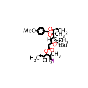 C=C[C@@H]1OC(c2ccc(OC)cc2)O[C@]1(C)CCC(CC(=O)O[C@@H](/C(C)=C/I)[C@@H](C)C=C)O[Si](C)(C)C(C)(C)C